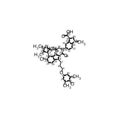 Cc1cc(OCCCc2c3n(c4c(-c5c(C)nn(C)c5C)c(Cl)ccc24)[C@H](C)CN(c2ccc4c(c2)c(C(=O)O)cn4C)C3=O)cc(C)c1Cl